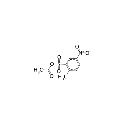 CC(=O)OS(=O)(=O)c1cc([N+](=O)[O-])ccc1C